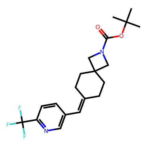 CC(C)(C)OC(=O)N1CC2(CCC(=Cc3ccc(C(F)(F)F)nc3)CC2)C1